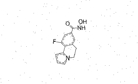 O=C(NO)c1cc(F)c2c(c1)CCn1cccc1-2